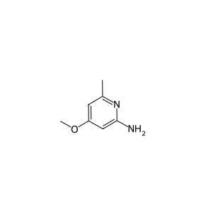 COc1cc(C)nc(N)c1